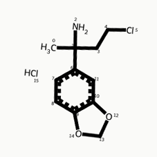 CC(N)(CCCl)c1ccc2c(c1)OCO2.Cl